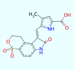 Cc1cc(C(=O)O)[nH]c1/C=C1\C(=O)Nc2ccc3c(c21)CCOS3(=O)=O